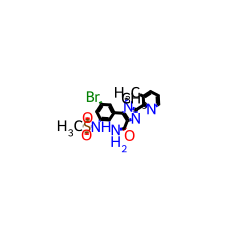 Cc1cccnc1-c1nc(C(N)=O)c(-c2cc(Br)cc(NS(C)(=O)=O)c2)n1C